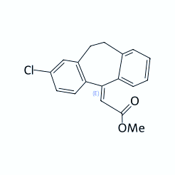 COC(=O)/C=C1\c2ccccc2CCc2cc(Cl)ccc21